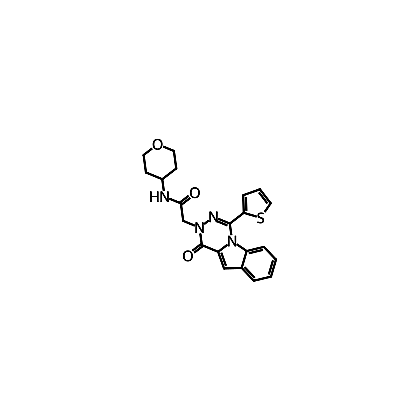 O=C(Cn1nc(-c2cccs2)n2c(cc3ccccc32)c1=O)NC1CCOCC1